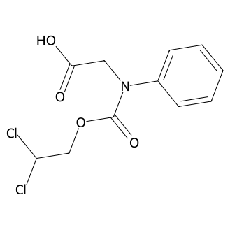 O=C(O)CN(C(=O)OCC(Cl)Cl)c1ccccc1